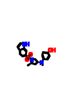 C[C@@H]1C[C@@H](N(C)c2ccc(O)cc2)CN1S(=O)(=O)c1ccc2cc[nH]c2c1